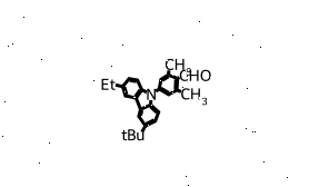 CCc1ccc2c(c1)c1cc(C(C)(C)C)ccc1n2-c1cc(C)c(C=O)c(C)c1